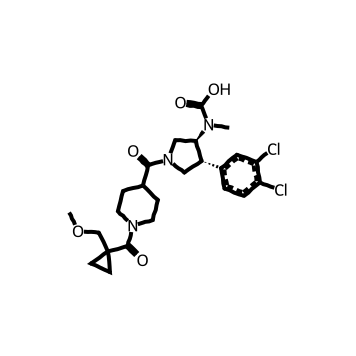 COCC1(C(=O)N2CCC(C(=O)N3C[C@@H](N(C)C(=O)O)[C@H](c4ccc(Cl)c(Cl)c4)C3)CC2)CC1